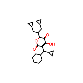 O=C1OC(C(CC2CC2)CC2CC2)C(=O)C(O)=C1C(C1CCCCC1)C1CC1